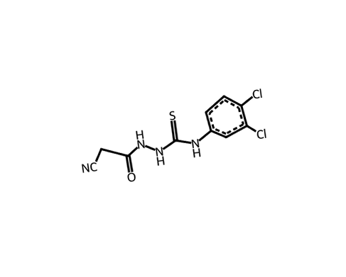 N#CCC(=O)NNC(=S)Nc1ccc(Cl)c(Cl)c1